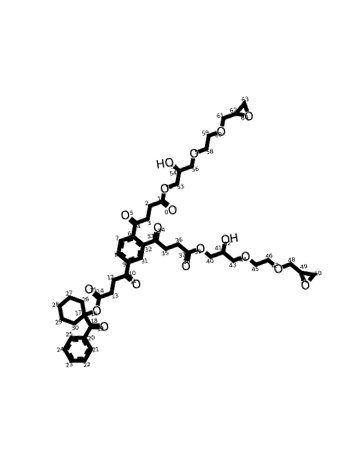 O=C(CCC(=O)c1ccc(C(=O)CCC(=O)OC2(C(=O)c3ccccc3)CCCCC2)cc1C(=O)CCC(=O)OCC(O)COCCOCC1CO1)OCC(O)COCCOCC1CO1